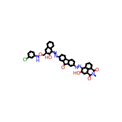 CN1C(=O)c2cccc3c(N=Nc4ccc5c(c4)C(=O)c4cc(N=Nc6c(O)c(CONc7cccc(Cl)c7)cc7ccccc67)ccc4-5)c(O)cc(c23)C1=O